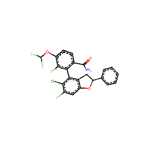 NC(=O)c1ccc(OC(F)F)c(F)c1-c1c(Cl)c(F)cc2c1CC(c1ccccc1)O2